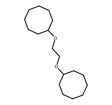 C1CCCC(OCCOC2CCCCCCC2)CCC1